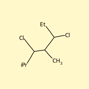 CCC(Cl)C(C)C(Cl)C(C)C